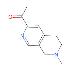 CC(=O)c1cc2c(cn1)CN(C)CC2